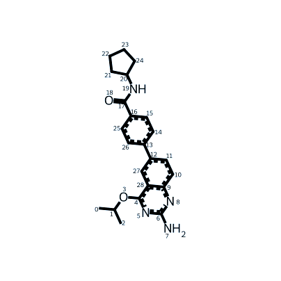 CC(C)Oc1nc(N)nc2ccc(-c3ccc(C(=O)NC4CCCC4)cc3)cc12